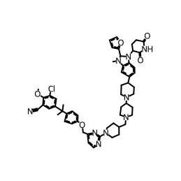 COc1c(Cl)cc(C(C)(C)c2ccc(OCc3ccnc(N4CCC(CN5CCC(N6CCC(c7ccc8c(c7)N(C)C(c7ccco7)N8C7CCC(=O)NC7=O)CC6)CC5)CC4)n3)cc2)cc1C#N